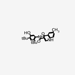 Cc1ccc2[nH]cc(C(=O)Nc3cc(O)c(C(C)(C)C)cc3C(C)(C)C)c(=O)c2c1